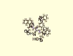 CC1(Cc2ccc(-n3nnc4ccccc43)cc2F)C(/C=C/C(C#N)=C/C=C2\Sc3ccc4ccccc4c3N2CCC(=O)O)=[N+](CCC(=O)O)C2C=CCCC21